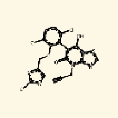 C#CCn1c(=O)c(-c2c(Cl)ccc(Cl)c2OCc2cnc(Cl)s2)c(O)c2scnc21